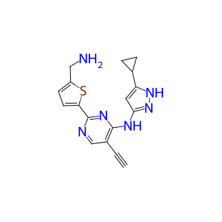 C#Cc1cnc(-c2ccc(CN)s2)nc1Nc1cc(C2CC2)[nH]n1